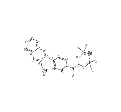 CN(c1ccc(-c2cc3nccnc3cc2O)nn1)C1CC(C)(C)NC(C)(C)C1